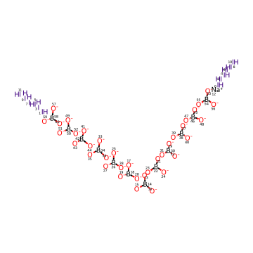 I.I.I.I.I.I.I.I.I.I.I.I.[Na+].[O-]B([O-])[O-].[O-]B([O-])[O-].[O-]B([O-])[O-].[O-]B([O-])[O-].[O-]B([O-])[O-].[O-]B([O-])[O-].[O-]B([O-])[O-].[O-]B([O-])[O-].[O-]B([O-])[O-].[O-]B([O-])[O-].[O-]B([O-])[O-].[O-]B([O-])[O-]